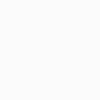 CCC(=O)OCC=CCCC(=O)O